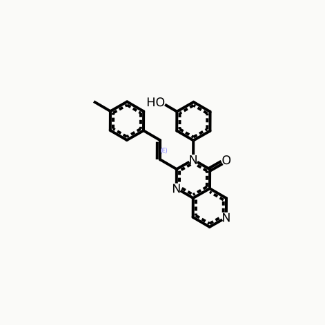 Cc1ccc(/C=C/c2nc3ccncc3c(=O)n2-c2cccc(O)c2)cc1